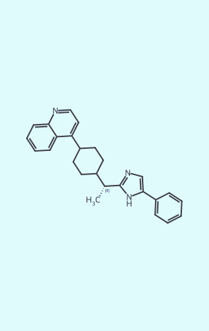 C[C@@H](c1ncc(-c2ccccc2)[nH]1)C1CCC(c2ccnc3ccccc23)CC1